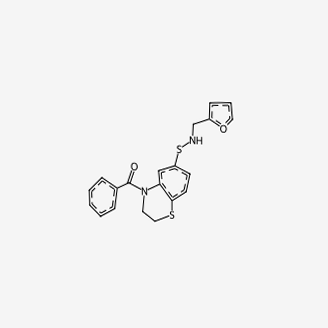 O=C(c1ccccc1)N1CCSc2ccc(SNCc3ccco3)cc21